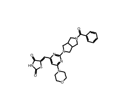 O=C1NC(=O)/C(=C/c2cc(N3CCOCC3)nc(N3CC4CN(C(=O)c5ccccc5)CC4C3)n2)S1